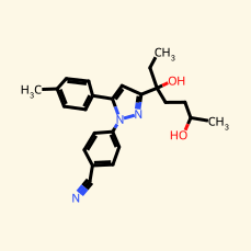 CCC(O)(CCC(C)O)c1cc(-c2ccc(C)cc2)n(-c2ccc(C#N)cc2)n1